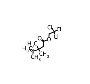 C[Si](C)C(C)(C)CC(=O)OCC(Cl)(Cl)Cl